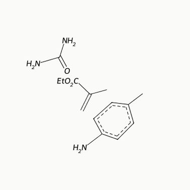 C=C(C)C(=O)OCC.Cc1ccc(N)cc1.NC(N)=O